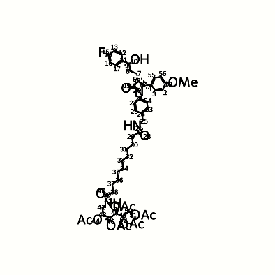 COc1ccc([C@@H]2[C@@H](CCC(O)c3ccc(F)cc3)C(=O)N2c2ccc(CNC(=O)CCCCCCCCCCC(=O)NCC(OC(C)=O)C(OC(C)=O)C(OC(C)=O)C(COC(C)=O)OC(C)=O)cc2)cc1